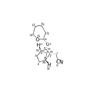 N#CC[C@@H]1[C@@H]2CC[C@@H](C2)[C@@H]1OC1CCCCO1